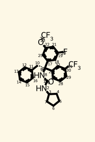 O=C(NC1CCCC1)N[C@@](Cc1ccccc1)(c1cc(F)cc(OC(F)(F)F)c1)c1cccc(C(F)(F)F)c1